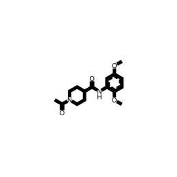 COc1ccc(OC)c(NC(=O)C2CCN(C(C)=O)CC2)c1